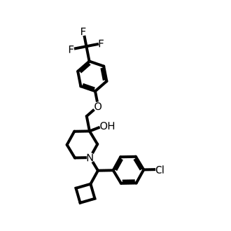 OC1(COc2ccc(C(F)(F)F)cc2)CCCN(C(c2ccc(Cl)cc2)C2CCC2)C1